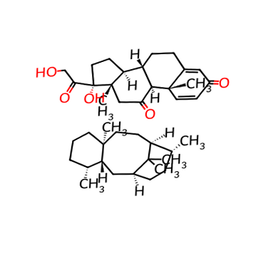 C[C@@H]1CCC[C@@]2(C)CC[C@H]3[C@H](C)CC[C@@H](C[C@H]12)C3(C)C.C[C@]12C=CC(=O)C=C1CC[C@@H]1[C@@H]2C(=O)C[C@@]2(C)[C@H]1CC[C@]2(O)C(=O)CO